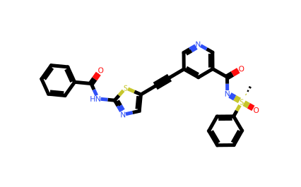 C[S@@](=O)(=NC(=O)c1cncc(C#Cc2cnc(NC(=O)c3ccccc3)s2)c1)c1ccccc1